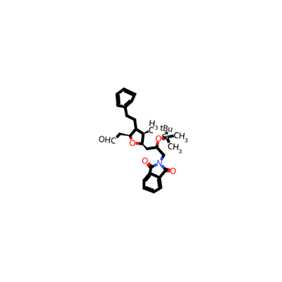 C[C@@H]1C(CCc2ccccc2)[C@H](CC=O)O[C@@H]1CC(CN1C(=O)c2ccccc2C1=O)O[Si](C)(C)C(C)(C)C